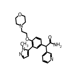 Cn1nccc1-c1cc(C(C(N)=O)c2cccnc2)ccc1OCCN1CCOCC1